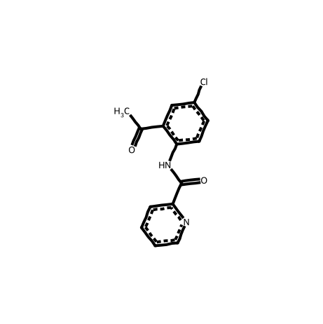 CC(=O)c1cc(Cl)ccc1NC(=O)c1ccccn1